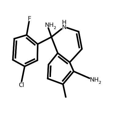 Cc1ccc2c(c1N)C=CNC2(N)c1cc(Cl)ccc1F